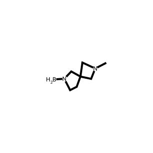 BN1CCC2(C1)CN(C)C2